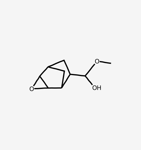 COC(O)C1CC2CC1C1OC21